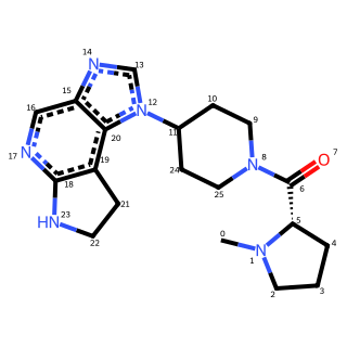 CN1CCC[C@H]1C(=O)N1CCC(n2cnc3cnc4c(c32)CCN4)CC1